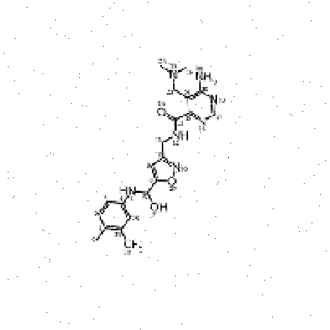 Cc1ccc(NC(O)c2cc(CNC(=O)c3ncnc(N)c3CN(C)C)no2)cc1C(F)(F)F